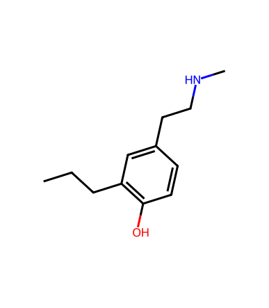 CCCc1cc(CCNC)ccc1O